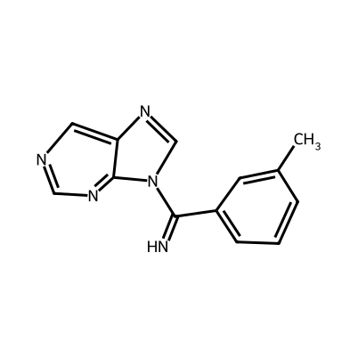 Cc1cccc(C(=N)n2cnc3cncnc32)c1